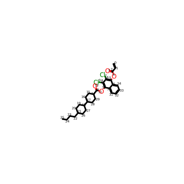 C=CC(=O)Oc1c(Cl)c(Cl)c(OC(=O)C2CCC(C3CCC(CCCC)CC3)CC2)c2ccccc12